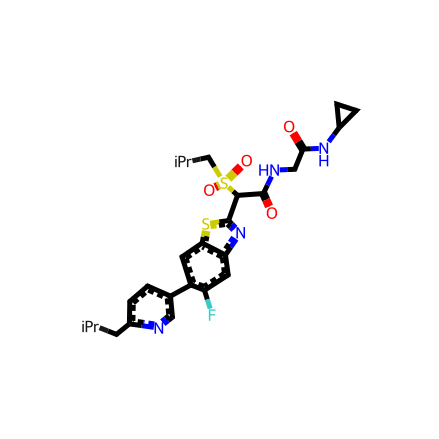 CC(C)Cc1ccc(-c2cc3sc(C(C(=O)NCC(=O)NC4CC4)S(=O)(=O)CC(C)C)nc3cc2F)cn1